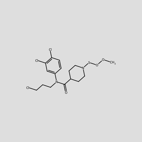 COOSN1CCC(C(=O)N(CCCCl)c2ccc(Cl)c(Cl)c2)CC1